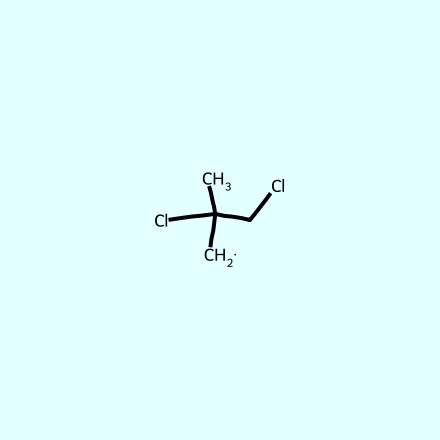 [CH2]C(C)(Cl)CCl